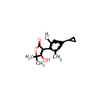 Cc1cc(C2CC2)cc(C)c1C1=C(O)C(C)(C)OC1=O